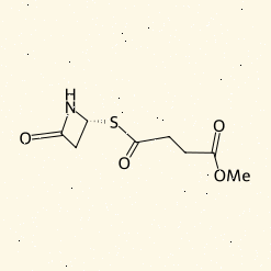 COC(=O)CCC(=O)S[C@@H]1CC(=O)N1